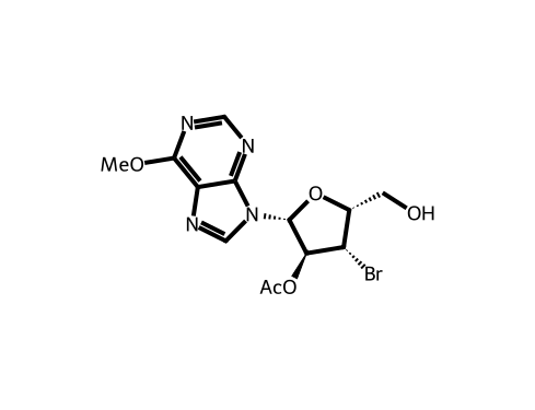 COc1ncnc2c1ncn2[C@@H]1O[C@H](CO)[C@H](Br)[C@H]1OC(C)=O